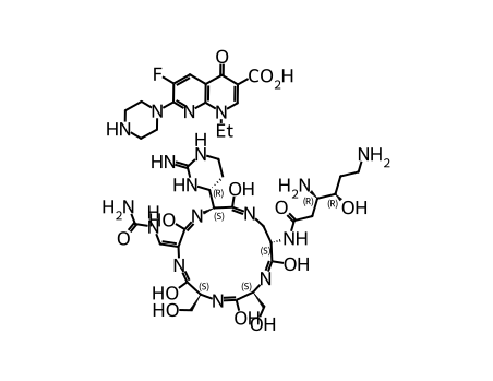 CCn1cc(C(=O)O)c(=O)c2cc(F)c(N3CCNCC3)nc21.N=C1NCC[C@H]([C@@H]2N=C(O)C(=CNC(N)=O)N=C(O)[C@H](CO)N=C(O)[C@H](CO)N=C(O)[C@@H](NC(=O)C[C@@H](N)[C@H](O)CCN)CN=C2O)N1